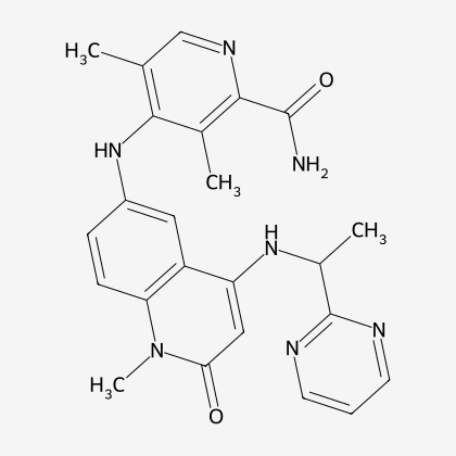 Cc1cnc(C(N)=O)c(C)c1Nc1ccc2c(c1)c(NC(C)c1ncccn1)cc(=O)n2C